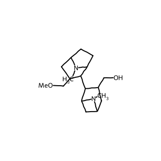 COCC1CC2CCC(C1C1C(CO)CC3CC1N3C)N2C